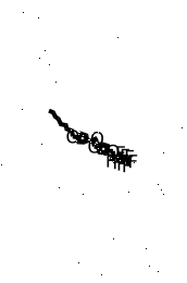 CCCCCCCCOc1ccc(C(=O)Oc2ccc(OC(F)C(F)(F)C(F)(F)C(F)(F)F)cc2)cc1